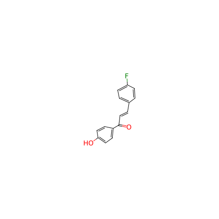 O=C(C=Cc1ccc(F)cc1)c1ccc(O)cc1